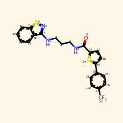 O=C(NCCCNc1nsc2ccccc12)c1ccc(-c2ccc(C(F)(F)F)cc2)s1